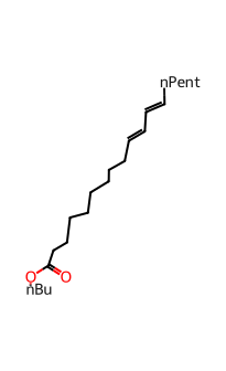 CCCCC/C=C/C=C/CCCCCCCCC(=O)OCCCC